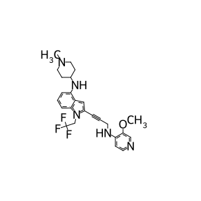 COc1cnccc1NCC#Cc1cc2c(NC3CCN(C)CC3)cccc2n1CC(F)(F)F